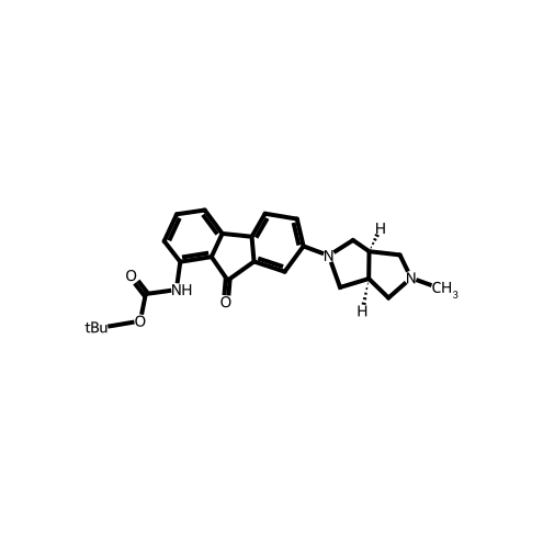 CN1C[C@@H]2CN(c3ccc4c(c3)C(=O)c3c(NC(=O)OC(C)(C)C)cccc3-4)C[C@@H]2C1